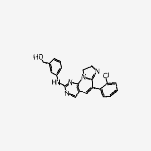 OCc1cccc(Nc2ncc3c(n2)N2CCN=C2C(c2ccccc2Cl)=C3)c1